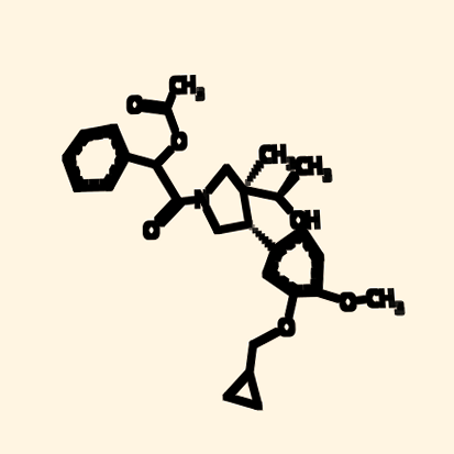 COc1ccc([C@@H]2CN(C(=O)C(OC(C)=O)c3ccccc3)C[C@@]2(C)[C@@H](C)O)cc1OCC1CC1